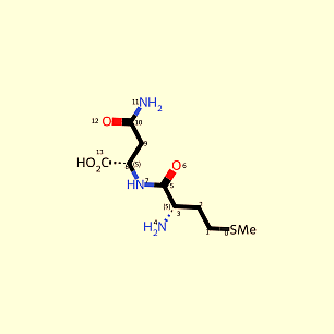 CSCC[C@H](N)C(=O)N[C@@H](CC(N)=O)C(=O)O